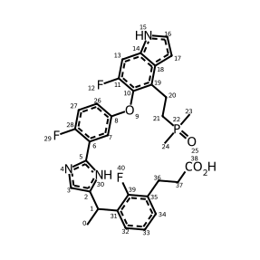 CC(c1cnc(-c2cc(Oc3c(F)cc4[nH]ccc4c3CCP(C)(C)=O)ccc2F)[nH]1)c1cccc(CCC(=O)O)c1F